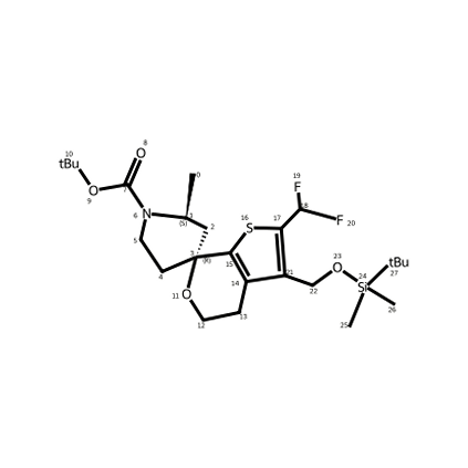 C[C@H]1C[C@@]2(CCN1C(=O)OC(C)(C)C)OCCc1c2sc(C(F)F)c1CO[Si](C)(C)C(C)(C)C